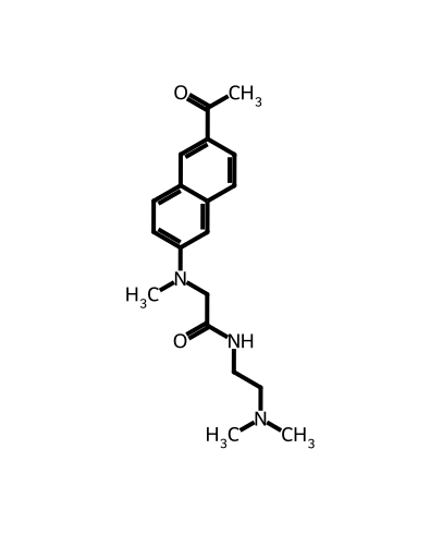 CC(=O)c1ccc2cc(N(C)CC(=O)NCCN(C)C)ccc2c1